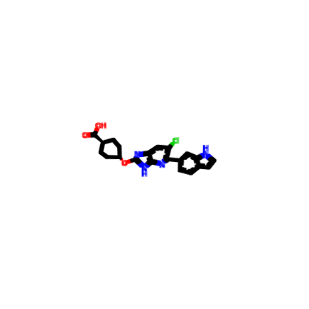 O=C(O)[C@H]1CC[C@H](Oc2nc3cc(Cl)c(-c4ccc5cc[nH]c5c4)nc3[nH]2)CC1